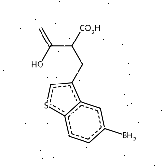 Bc1ccc2scc(CC(C(=C)O)C(=O)O)c2c1